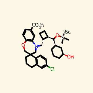 CC(C)(C)[Si](C)(C)OC([C@@H]1CCC[C@H](O)C1)[C@@H]1CC[C@H]1CN1CC2(CCCc3cc(Cl)ccc32)COc2ccc(C(=O)O)cc21